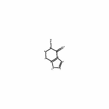 O=C1c2ccsc2CCC1F